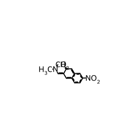 CN(C)C=C1C=c2ccc([N+](=O)[O-])cc2=CC1=O